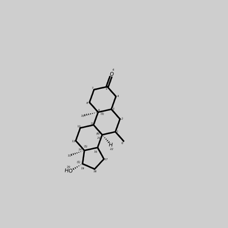 CC1CC2CC(=O)CC[C@]2(C)C2CC[C@@]3(C)C(CC[C@@H]3O)[C@H]12